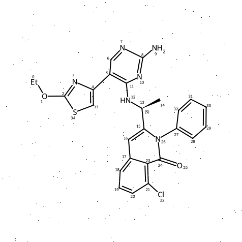 CCOc1nc(-c2cnc(N)nc2N[C@@H](C)c2cc3cccc(Cl)c3c(=O)n2-c2ccccc2)cs1